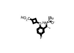 C[C@@H](N[S@+]([O-])C(C)(C)C)c1cc(F)ccc1OC1CC(C(=O)O)C1